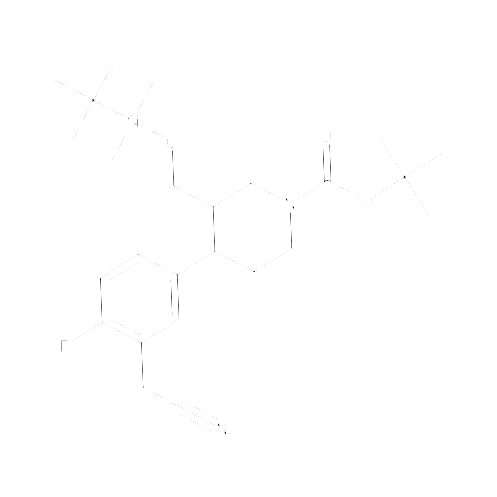 CC(C)(C)OC(=O)N1CCC(c2ccc(F)c(CC#N)c2)C(CO[Si](C)(C)C(C)(C)C)C1